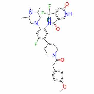 COc1ccc(CC(=O)N2CC=C(c3cc(NC(=O)c4c[nH]c(=O)cc4C(F)(F)F)c(N4CC(C)N(C)C(C)C4)cc3F)CC2)cc1